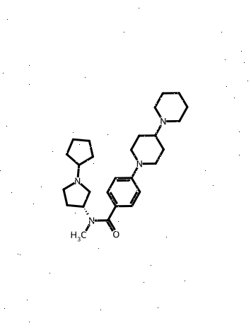 CN(C(=O)c1ccc(N2CCC(N3CCCCC3)CC2)cc1)[C@@H]1CCN(C2CCCC2)C1